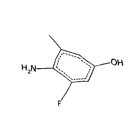 Cc1cc(O)cc(F)c1N